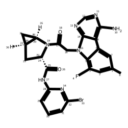 Cc1cc(F)c2c(c1)c1c(N)ncnc1n2CC(=O)N1[C@@H]2C[C@@H]2C[C@H]1C(=O)Nc1cccc(Br)n1